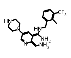 Cc1c(CN/C(N)=c2\cc(N3CCNCC3)cn\c2=C\N)cccc1C(F)(F)F